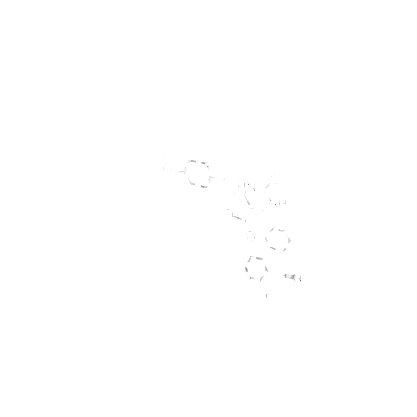 COc1ccc(CCC2=C(C(=O)OCc3ccc(F)c(C#N)c3)C(c3ccccc3)NC(=O)N2)cc1